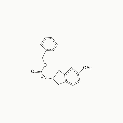 CC(=O)Oc1ccc2c(c1)CC(NC(=O)OCc1ccccc1)C2